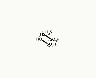 O=S(=O)(O)O.O=S(=O)(O)S.S